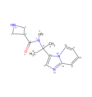 CCCN(C(=O)C1CNC1)C(C)(C)c1cnc2ccccn12